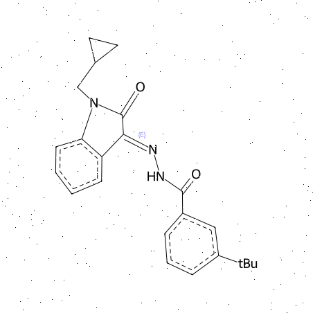 CC(C)(C)c1cccc(C(=O)N/N=C2/C(=O)N(CC3CC3)c3ccccc32)c1